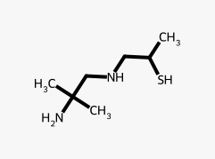 CC(S)CNCC(C)(C)N